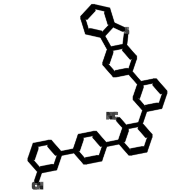 N#Cc1cccc(-c2ccc(-c3cccc(-c4cccc(-c5ccc6c(c5)sc5ccccc56)c4)c3C#N)cc2)c1